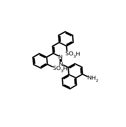 Nc1ccc(N=NC(=Cc2ccccc2S(=O)(=O)O)c2ccccc2S(=O)(=O)O)c2ccccc12